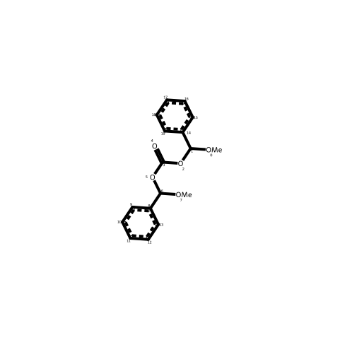 COC(OC(=O)OC(OC)c1ccccc1)c1ccccc1